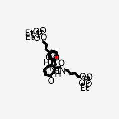 CCOP(=O)(OCC)OCCCCNC(=O)C1C(C(=O)OCCCCOP(=O)(OCC)OCC)[C@H]2C=CC(=O)[C@@H]1N2Cc1ccccc1